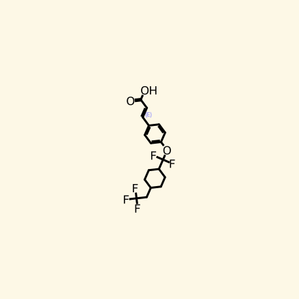 O=C(O)/C=C/c1ccc(OC(F)(F)C2CCC(CC(F)(F)F)CC2)cc1